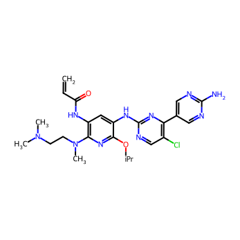 C=CC(=O)Nc1cc(Nc2ncc(Cl)c(-c3cnc(N)nc3)n2)c(OC(C)C)nc1N(C)CCN(C)C